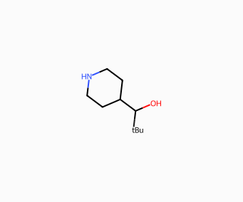 CC(C)(C)C(O)C1CCNCC1